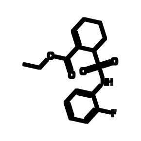 CCOC(=O)C1=CCCCC1S(=O)(=O)Nc1ccccc1F